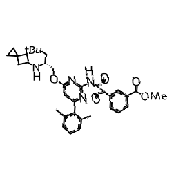 COC(=O)c1cccc(S(=O)(=O)Nc2nc(OC[C@@H](CC(C)(C)C)NC3CC4(CC4)C3)cc(-c3c(C)cccc3C)n2)c1